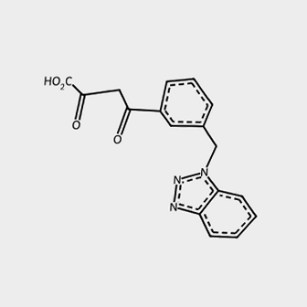 O=C(O)C(=O)CC(=O)c1cccc(Cn2nnc3ccccc32)c1